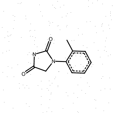 Cc1ccccc1N1CC(=O)[N]C1=O